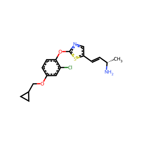 C[C@H](N)/C=C/c1cnc(Oc2ccc(OCC3CC3)cc2Cl)s1